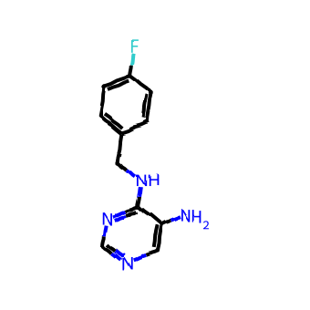 Nc1cncnc1NCc1ccc(F)cc1